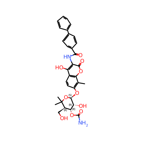 Cc1c(O[C@@H]2OC(C)(C)[C@H](CO)[C@@H](OC(N)=O)[C@H]2O)ccc2c(O)c(NC(=O)c3ccc(-c4ccccc4)cc3)c(=O)oc12